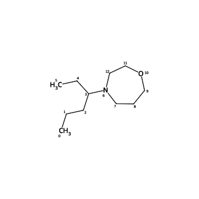 CCCC(CC)N1CCCOCC1